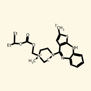 CCC(CC)OC(=O)OC[N+]1(C)CCN(C2=Nc3ccccc3Nc3sc(C)cc32)CC1.[I-]